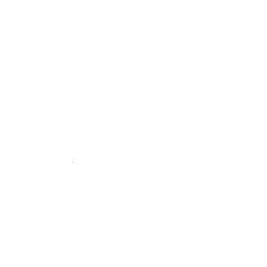 C=CCCC(=O)O.c1ccccc1